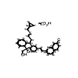 CC(=O)O.CC(O)(CO)c1ccccc1C(CCSCC1CC1)c1cccc(C=Cc2ccc3ccc(Cl)cc3n2)c1